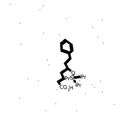 CC(C)[Si](OC(CCCC(=O)O)CCc1ccccc1)(C(C)C)C(C)C